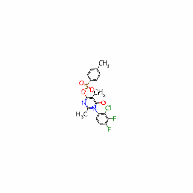 Cc1ccc(S(=O)(=O)Oc2nc(C)n(-c3ccc(F)c(F)c3Cl)c(=O)c2C)cc1